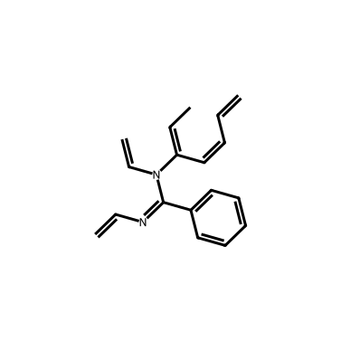 C=C/C=C\C(=C/C)N(C=C)/C(=N\C=C)c1ccccc1